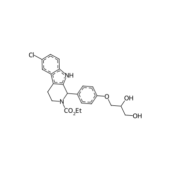 CCOC(=O)N1CCc2c([nH]c3ccc(Cl)cc23)C1c1ccc(OCC(O)CO)cc1